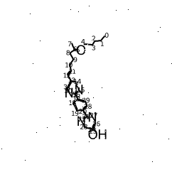 CCCCCOC(C)CCC/C=C/c1cnc(-c2ccc(-c3ncc(O)cn3)cc2)nc1